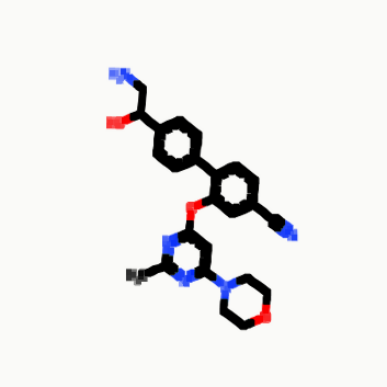 Cc1nc(Oc2cc(C#N)ccc2-c2ccc(C(O)CN)cc2)cc(N2CCOCC2)n1